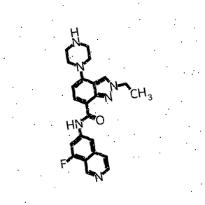 CCn1cc2c(N3CCNCC3)ccc(C(=O)Nc3cc(F)c4cnccc4c3)c2n1